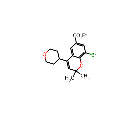 CCOC(=O)c1cc(Br)c2c(c1)C(C1CCOCC1)=CC(C)(C)O2